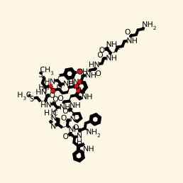 CSCCC(NC(=O)[C@@H](CCSC)NC(=O)[C@@H](C)NC(=O)[C@@H](Cc1c[nH]c2ccccc12)NC(=O)[C@H]1CCCN1C(=O)[C@@H](Cc1c[nH]cn1)NC(=O)C(Cc1c[nH]c2ccccc12)NC(=O)[C@H](N)Cc1ccccc1)C(=O)N[C@H](Cc1ccc(O)cc1)C(=O)N[C@H](CCCCN)C(=O)NCC(=O)NCC(=O)NCC(=O)N[C@@H](CCCCNC(=O)CCCN)C(N)=O